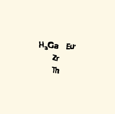 [Eu].[GaH3].[Th].[Zr]